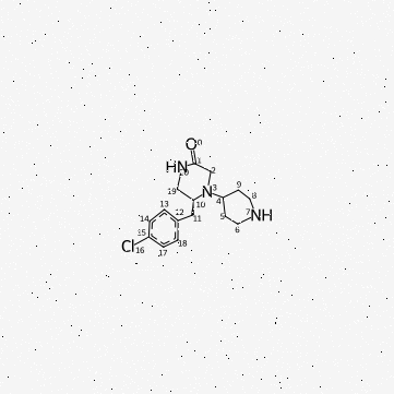 O=C1CN(C2CCNCC2)[C@@H](Cc2ccc(Cl)cc2)CN1